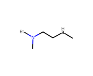 CBCCN(C)CC